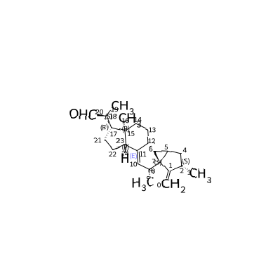 C=C1[C@@H](C)CC2C[C@]12[C@H](C)/C=C1\CCC[C@]2(C)[C@@H]([C@H](C)C=O)CC[C@@H]12